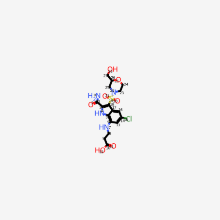 NC(=O)c1[nH]c2c(NCCC(=O)O)cc(Cl)cc2c1S(=O)(=O)N1CCOC(CO)C1